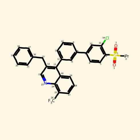 CC(C)S(=O)(=O)c1ccc(-c2cccc(-c3c(Cc4ccccc4)cnc4c(C(F)(F)F)cccc34)c2)cc1Cl